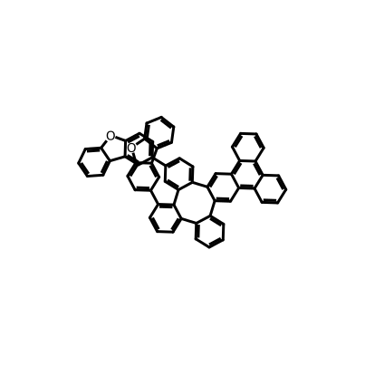 c1ccc2c(c1)-c1cc3c4ccccc4c4ccccc4c3cc1-c1ccc(-c3ccc4oc5ccccc5c4c3)cc1-c1c(-c3ccc4oc5ccccc5c4c3)cccc1-2